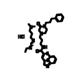 CCN=C=NCCCN(C)C.Cl.O=C(NCCCN1CCN(CCCc2ccccc2)C(=O)C1)C1=Cc2cnc3cccc(n23)S1